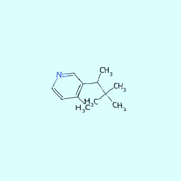 Cc1ccncc1C(C)C(C)(C)C